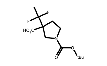 CC(C)(C)OC(=O)N1CCC(C(=O)O)(C(C)(F)F)C1